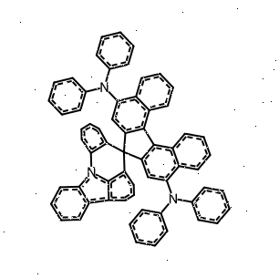 c1ccc(N(c2ccccc2)c2cc3c(c4ccccc24)-c2c(cc(N(c4ccccc4)c4ccccc4)c4ccccc24)C32c3ccccc3-n3c4ccccc4c4cccc2c43)cc1